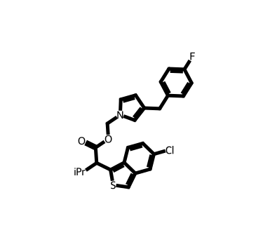 CC(C)C(C(=O)OCn1ccc(Cc2ccc(F)cc2)c1)c1scc2cc(Cl)ccc12